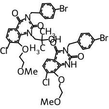 COCCOc1c(Cl)ccc2c(=O)n(Cc3ccc(Br)cc3)c(=O)[nH]c12.COCCOc1c(Cl)ccc2c(=O)n(Cc3ccc(Br)cc3)c(=O)n(CC(C)(C)O)c12